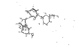 CNC1CCCN(c2ccnc(-c3cnc4ccc(Cl)cn34)n2)C1